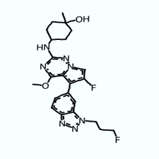 COc1nc(NC2CCC(C)(O)CC2)nn2cc(F)c(-c3ccc4nnn(CCCF)c4c3)c12